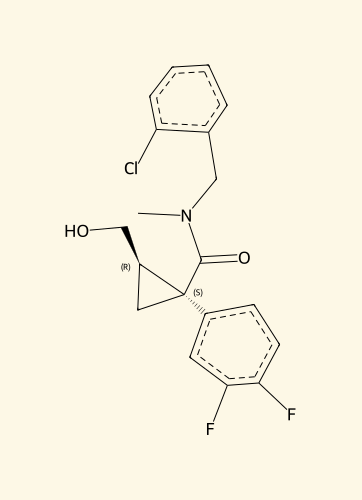 CN(Cc1ccccc1Cl)C(=O)[C@@]1(c2ccc(F)c(F)c2)C[C@H]1CO